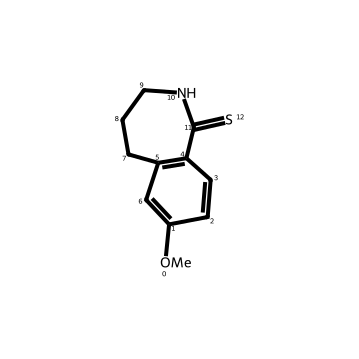 COc1ccc2c(c1)CCCNC2=S